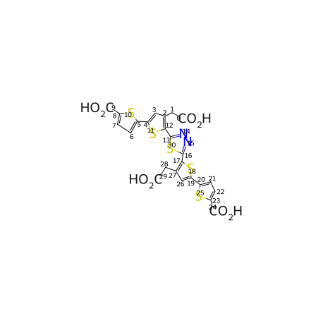 O=C(O)Cc1cc(-c2ccc(C(=O)O)s2)sc1-c1nnc(-c2sc(-c3ccc(C(=O)O)s3)cc2CC(=O)O)s1